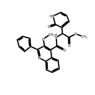 COC(=O)C(NC(=O)c1c(OC)c(-c2ccccc2)nc2ccccc12)c1ccc[nH]c1=O